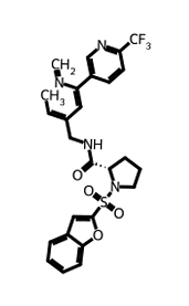 C=N/C(=C\C(=C/C)CNC(=O)[C@@H]1CCCN1S(=O)(=O)c1cc2ccccc2o1)c1ccc(C(F)(F)F)nc1